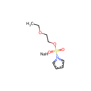 CCOCCOS(=O)(=O)n1cccc1.[NaH]